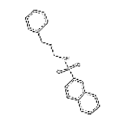 O=S(=O)(NCCCc1ccccc1)c1ccc2ccccc2c1